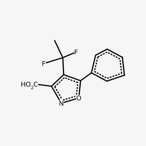 CC(F)(F)c1c(C(=O)O)noc1-c1ccccc1